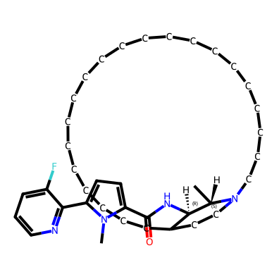 C[C@H]1[C@H](NC(=O)c2ccc(-c3ncccc3F)n2C)C2CCCCCCCCCCCCCCCCCCCCCN1CC2